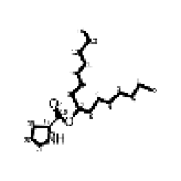 CCCCCCCC(CCCCCCC)OC(=O)[C@@H]1CCCN1